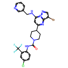 O=C(Nc1ccc(Cl)cc1C(F)(F)F)N1CCC(c2cc(NCc3cccnc3)n3ncc(Br)c3n2)CC1